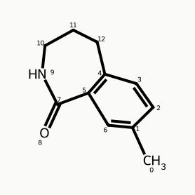 Cc1ccc2c(c1)C(=O)NCCC2